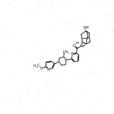 COc1ccc(N2CCN(c3cccc(C(=O)N[C@H]4C5CC6CC4C[C@](O)(C6)C5)n3)[C@H](C)C2)cn1